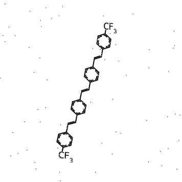 FC(F)(F)c1ccc(/C=C/c2ccc(/C=C/c3ccc(/C=C/c4ccc(C(F)(F)F)cc4)cc3)cc2)cc1